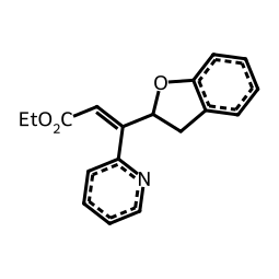 CCOC(=O)C=C(c1ccccn1)C1Cc2ccccc2O1